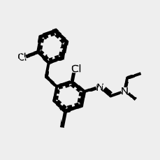 CCN(C)C=Nc1cc(C)cc(Cc2ccccc2Cl)c1Cl